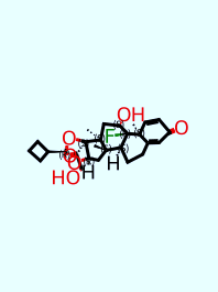 C[C@]12C[C@H](O)[C@@]3(F)[C@@H](CCC4=CC(=O)C=C[C@@]43C)[C@]1(C)C[C@H]1O[C@@H](C3CCC3)O[C@]12C(=O)CO